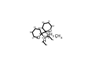 C.CC[SiH](CC)C1(C2([SiH3])CCCCO2)CCCCO1